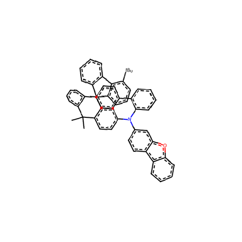 CC(C)(C)c1cccc2c1-c1ccccc1C21c2ccccc2C(C)(C)c2ccc(N(c3ccc4c(c3)oc3ccccc34)c3ccccc3-c3ccccc3)cc21